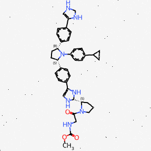 COC(=O)NCC(=O)N1CCC[C@H]1C1NC=C(c2ccc([C@@H]3CC[C@H](c4ccc(C5=CNCN5)cc4)N3c3ccc(C4CC4)cc3)cc2)N1